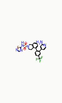 Nc1cc(-c2cc(C(F)(F)F)ccc2-c2cccc3c2CCN(S(=O)(=O)Nc2ncns2)C3)ccn1